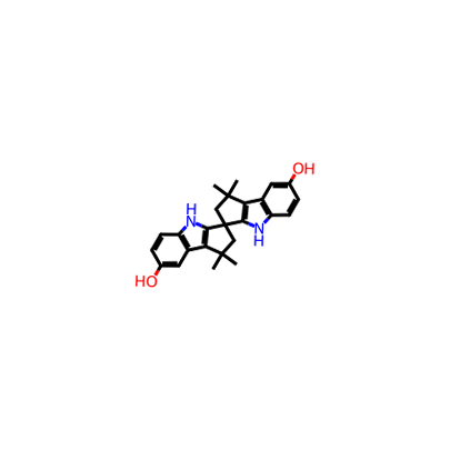 CC1(C)CC2(CC(C)(C)c3c2[nH]c2ccc(O)cc32)c2[nH]c3ccc(O)cc3c21